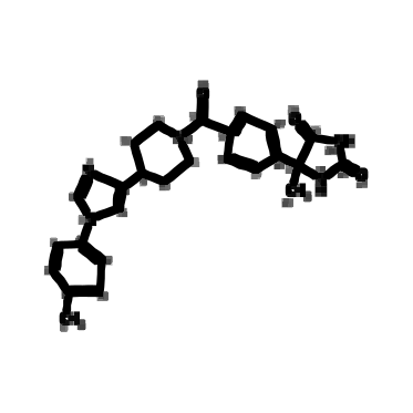 Cc1ccc(-n2cnc(C3CCN(C(=O)c4ccc(C5(C)NC(=O)NC5=O)cc4)CC3)c2)cc1